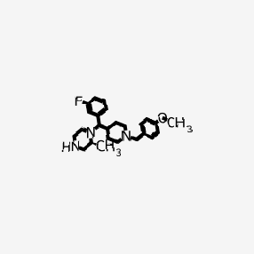 COc1ccc(CN2CCC(C(c3cccc(F)c3)N3CCNC[C@@H]3C)CC2)cc1